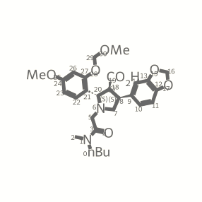 CCCCN(C)C(=O)CN1C[C@H](c2ccc3c(c2)OCO3)[C@H](C(=O)O)[C@H]1c1ccc(OC)cc1OCOC